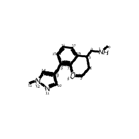 CNCC1CCOc2c(-c3cnn(C)c3)cccc21